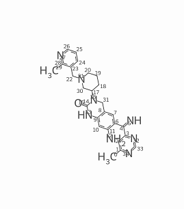 Cc1cc(C(=N)c2cc3c(cc2N)NC(=O)N([C@@H]2CCCN(Cc4cccnc4C)C2)C3)ncn1